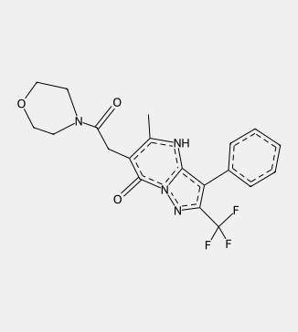 Cc1[nH]c2c(-c3ccccc3)c(C(F)(F)F)nn2c(=O)c1CC(=O)N1CCOCC1